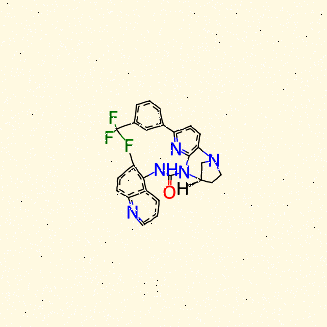 Cc1ccc2ncccc2c1NC(=O)N1c2nc(-c3cccc(C(F)(F)F)c3)ccc2N2CC[C@H]1C2